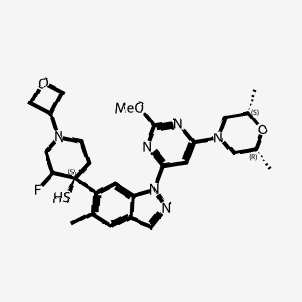 COc1nc(N2C[C@@H](C)O[C@@H](C)C2)cc(-n2ncc3cc(C)c([C@@]4(S)CCN(C5COC5)CC4F)cc32)n1